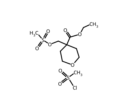 CCOC(=O)C1(COS(C)(=O)=O)CCOCC1.CS(=O)(=O)Cl